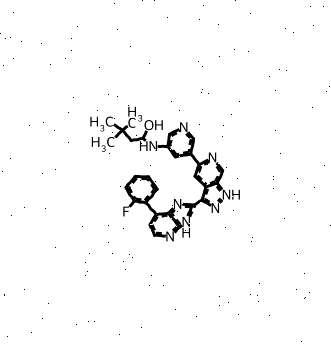 CC(C)(C)CC(O)Nc1cncc(-c2cc3c(-c4nc5c(-c6ccccc6F)ccnc5[nH]4)n[nH]c3cn2)c1